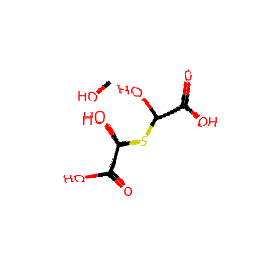 CO.O=C(O)C(O)SC(O)C(=O)O